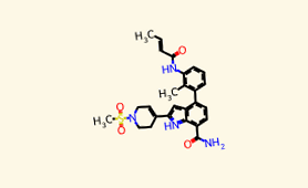 CC=CC(=O)Nc1cccc(-c2ccc(C(N)=O)c3[nH]c(C4=CCN(S(C)(=O)=O)CC4)cc23)c1C